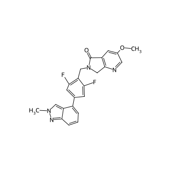 COc1cnc2c(c1)C(=O)N(Cc1c(F)cc(-c3cccc4nn(C)cc34)cc1F)C2